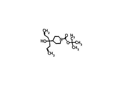 C=CCC(O)(CC=C)C1CCN(C(=O)OC(C)(C)C)CC1